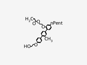 C=CC(=O)OCCOc1cc(CCCCC)ccc1-c1ccc(-c2ccc(OCCO)cc2)c(C)c1